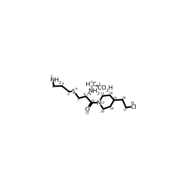 CC(=O)O.NCCCSC[C@H](N)C(=O)N1CCC(CCCl)CC1